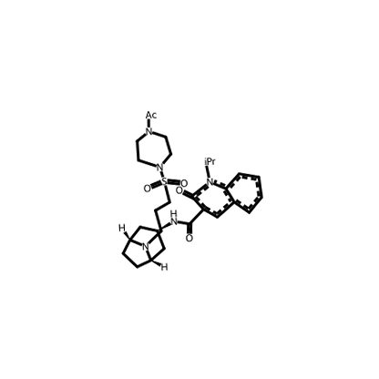 CC(=O)N1CCN(S(=O)(=O)CCCN2[C@@H]3CC[C@H]2C[C@H](NC(=O)c2cc4ccccc4n(C(C)C)c2=O)C3)CC1